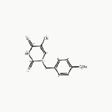 COc1ccc(Cn2cc(C#N)c(=O)[nH]c2=O)cc1